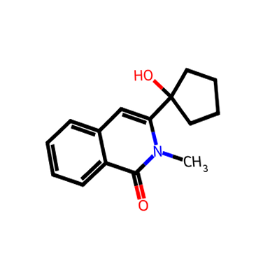 Cn1c(C2(O)CCCC2)cc2ccccc2c1=O